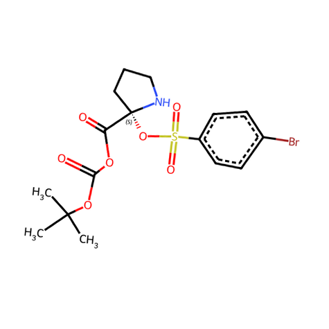 CC(C)(C)OC(=O)OC(=O)[C@@]1(OS(=O)(=O)c2ccc(Br)cc2)CCCN1